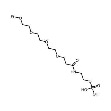 CCOCCOCCOCCOCCC(=O)NCCOP(=O)(O)O